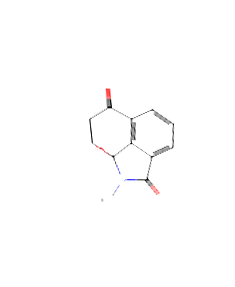 CCC(C)N1C(=O)c2cccc3c2C1(O)CCC3=O